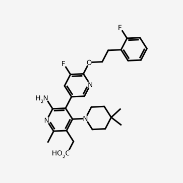 Cc1nc(N)c(-c2cnc(OCCc3ccccc3F)c(F)c2)c(N2CCC(C)(C)CC2)c1CC(=O)O